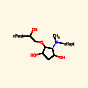 CCCCCCCN(C)[C@H]1[C@H](OCC(O)CCCCC)[C@H](O)C[C@@H]1O